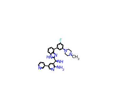 CN1CCN(c2cc(F)cc(-c3cccc4[nH]c(C(=N)c5cc(-c6cccnc6)cnc5N)nc34)c2)CC1